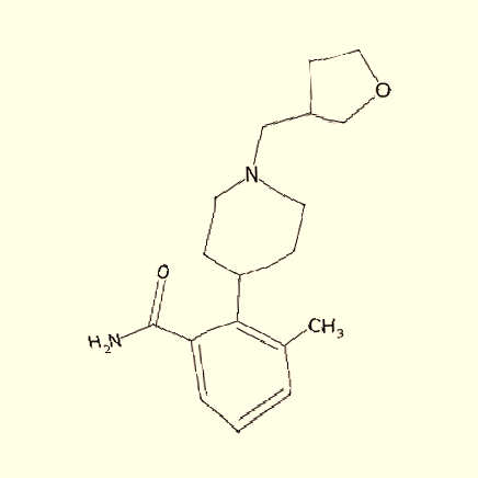 Cc1cccc(C(N)=O)c1C1CCN(CC2CCOC2)CC1